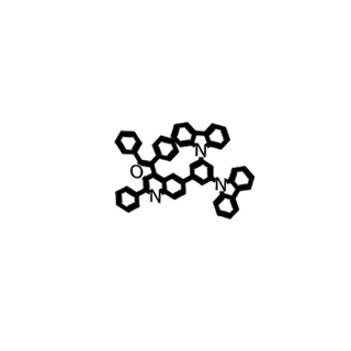 c1ccc(-c2oc3c(-c4ccccc4)nc4ccc(-c5cc(-n6c7ccccc7c7ccccc76)cc(-n6c7ccccc7c7ccccc76)c5)cc4c3c2-c2ccccc2)cc1